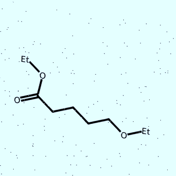 [CH2]COCCCCC(=O)OCC